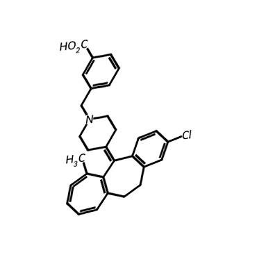 CC1=C=CC=CC2=C1C(=C1CCN(Cc3cccc(C(=O)O)c3)CC1)c1ccc(Cl)cc1CC2